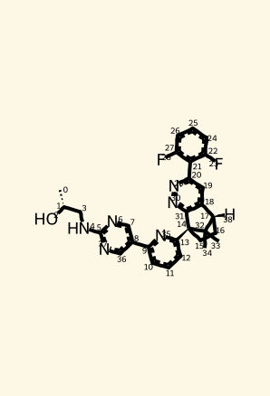 C[C@@H](O)CNc1ncc(-c2cccc([C@@]34CC[C@@H](c5cc(-c6c(F)cccc6F)nnc53)C4(C)C)n2)cn1